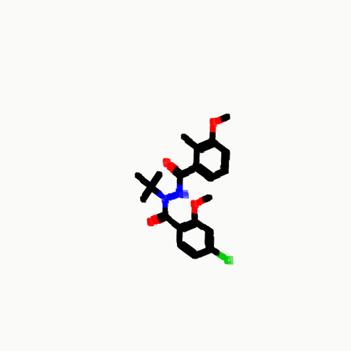 COc1cc(Cl)ccc1C(=O)N(NC(=O)c1cccc(OC)c1C)C(C)(C)C